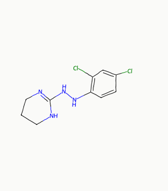 Clc1ccc(NNC2=NCCCN2)c(Cl)c1